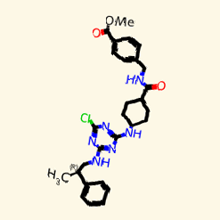 COC(=O)c1ccc(CNC(=O)C2CCC(Nc3nc(Cl)nc(NC[C@H](C)c4ccccc4)n3)CC2)cc1